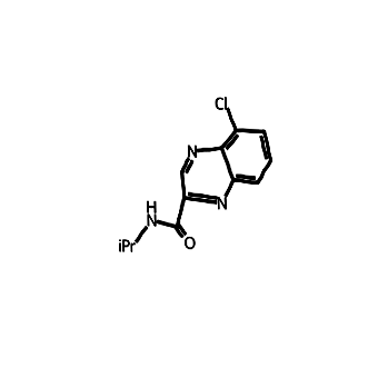 CC(C)NC(=O)c1cnc2c(Cl)cccc2n1